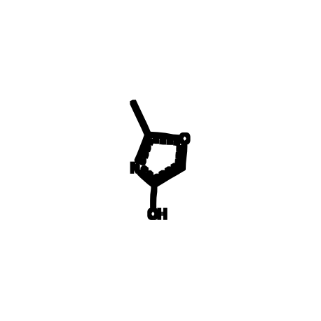 Cc1nc(O)co1